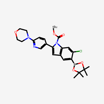 CC(C)(C)OC(=O)n1c(-c2ccc(N3CCOCC3)nc2)cc2cc(B3OC(C)(C)C(C)(C)O3)c(Cl)cc21